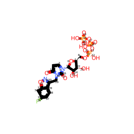 O=c1ccn([C@@H]2O[C@H](COP(=O)(O)OP(=O)(O)OP(=O)(O)O)[C@H](O)C2O)c(=O)n1Cc1noc2cc(F)ccc12